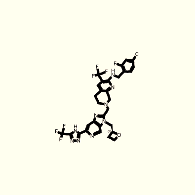 Fc1cc(Cl)ccc1CNc1nc2c(cc1C(F)(F)F)CCN(Cc1nc3cc(-c4nnc(C(F)(F)F)[nH]4)ncc3n1C[C@@H]1CCO1)C2